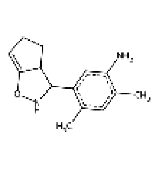 Cc1cc(C)c(C2NOC3=CCCC32)cc1N